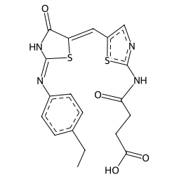 CCc1ccc(N=C2NC(=O)C(=Cc3cnc(NC(=O)CCC(=O)O)s3)S2)cc1